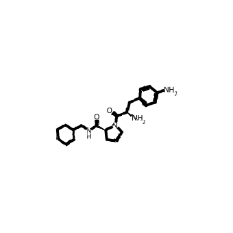 Nc1ccc(C[C@@H](N)C(=O)N2CCC[C@H]2C(=O)NCC2CCCCC2)cc1